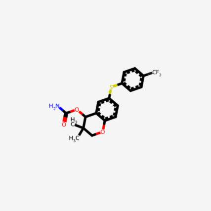 CC1(C)COc2ccc(Sc3ccc(C(F)(F)F)cc3)cc2C1OC(N)=O